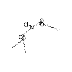 CCCCCCCCCCCOC(=O)C(C)(C)CCCCN(CCCl)CCCCCCC(C)(C)C(=O)OC(CCCCCCCC)CCCCCCCC